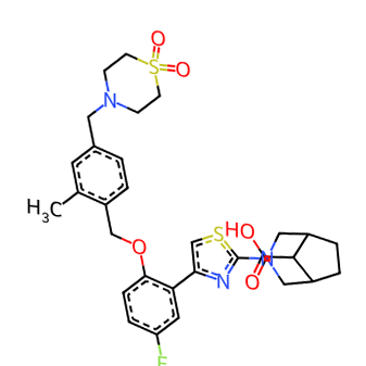 Cc1cc(CN2CCS(=O)(=O)CC2)ccc1COc1ccc(F)cc1-c1csc(N2CC3CCC(C2)C3C(=O)O)n1